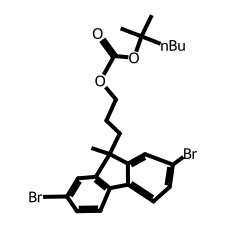 CCCCC(C)(C)OC(=O)OCCCC1(C)c2cc(Br)ccc2-c2ccc(Br)cc21